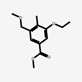 CCOc1cc(C(=O)OC)cc(COC)c1C